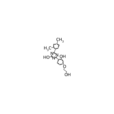 Cc1ccc(-c2nc(O)nc(-c3ccc(OCCO)cc3O)n2)c(C)c1